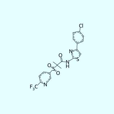 CC(C)(C(=O)Nc1nc(-c2ccc(Cl)cc2)cs1)S(=O)(=O)c1ccc(C(F)(F)F)nc1